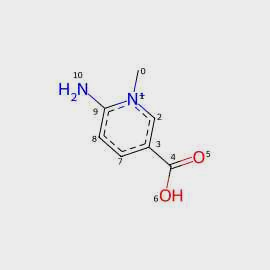 C[n+]1cc(C(=O)O)ccc1N